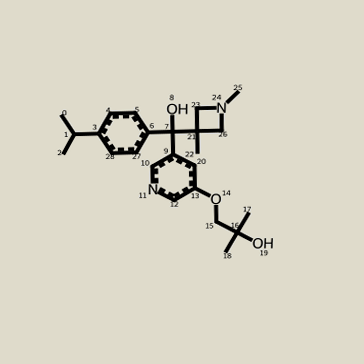 CC(C)c1ccc(C(O)(c2cncc(OCC(C)(C)O)c2)C2(C)CN(C)C2)cc1